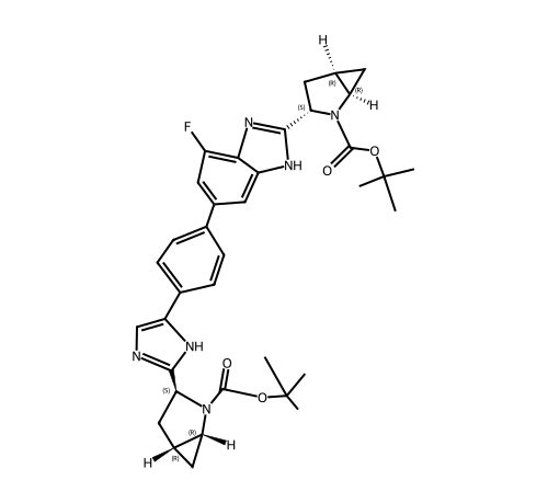 CC(C)(C)OC(=O)N1[C@@H]2C[C@@H]2C[C@H]1c1ncc(-c2ccc(-c3cc(F)c4nc([C@@H]5C[C@H]6C[C@H]6N5C(=O)OC(C)(C)C)[nH]c4c3)cc2)[nH]1